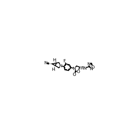 N#C[C@@H]1[C@H]2CN(c3ccc(N4C[C@H](CNc5ncon5)OC4=O)cc3F)C[C@@H]12